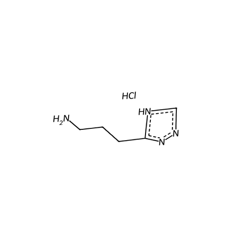 Cl.NCCCc1nnc[nH]1